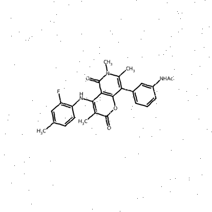 CC(=O)Nc1cccc(-c2c(C)n(C)c(=O)c3c(Nc4ccc(C)cc4F)c(C)c(=O)oc23)c1